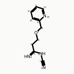 N#CNC(=N)CCOCc1ccccn1